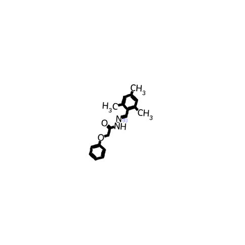 Cc1cc(C)c(/C=N/NC(=O)COc2ccccc2)c(C)c1